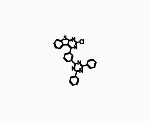 Clc1nc(-c2cccc(-c3nc(-c4ccccc4)nc(-c4ccccc4)n3)c2)c2c(n1)sc1ccccc12